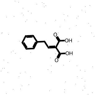 O=C(O)C(=CCc1ccccc1)C(=O)O